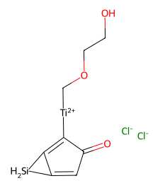 O=C1C=C2[SiH2]C2=[C]1[Ti+2][CH2]OCCO.[Cl-].[Cl-]